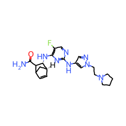 NC(=O)C1C2C=C[C@@H](C2)[C@H]1Nc1nc(Nc2cnn(CCN3CCCC3)c2)ncc1F